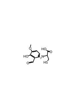 COc1cccc(C=O)c1O.NC(CS)C(=O)O